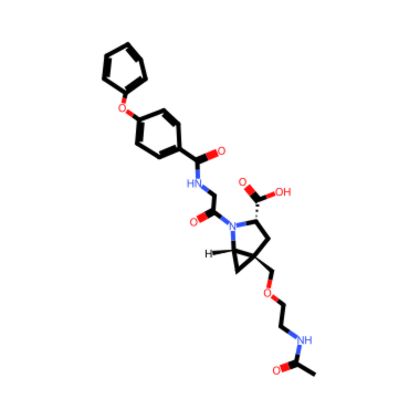 CC(=O)NCCOC[C@@]12C[C@@H]1N(C(=O)CNC(=O)c1ccc(Oc3ccccc3)cc1)[C@H](C(=O)O)C2